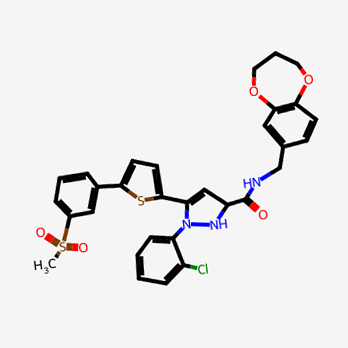 CS(=O)(=O)c1cccc(-c2ccc(C3=CC(C(=O)NCc4ccc5c(c4)OCCCO5)NN3c3ccccc3Cl)s2)c1